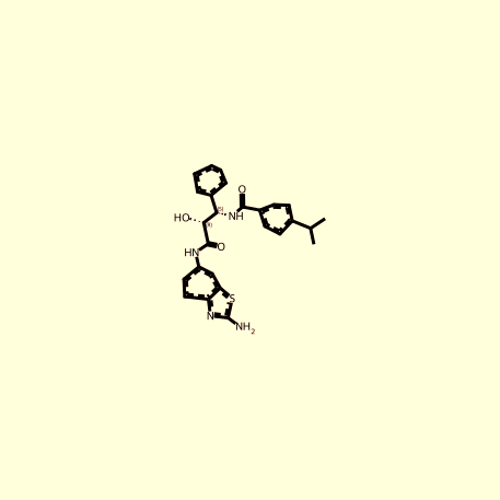 CC(C)c1ccc(C(=O)N[C@@H](c2ccccc2)[C@@H](O)C(=O)Nc2ccc3nc(N)sc3c2)cc1